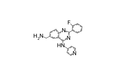 NCc1ccc2nc(-c3ccccc3F)nc(Nc3ccncc3)c2c1